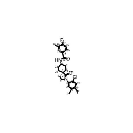 Cc1cc(N2CC[C@]3(CC[C@@H](NC(=O)c4ccc(F)c(C)n4)CC3)C2=O)c(Cl)cc1F